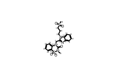 CN1C(=O)N(Cc2nc3ccccc3n2CCCS(C)(=O)=O)c2ccccc2S1(=O)=O